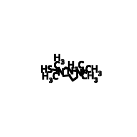 CC(C)(C)N1CCC2CN(C(C)(C)S)CN2C1